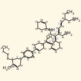 CCCCC1CC(c2ccc(C3=CCC(\C(C)=C4/C=CCC/C4=C(CNC4C=CCCC4)\C(=C\C=C\C(CC)CN)CN)CC3)cc2)CC=C1C